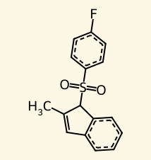 CC1=Cc2ccccc2C1S(=O)(=O)c1ccc(F)cc1